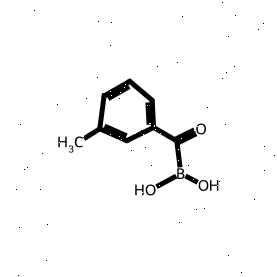 Cc1cccc(C(=O)B(O)O)c1